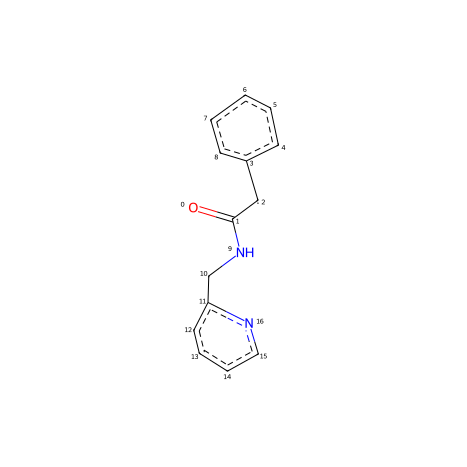 O=C([CH]c1ccccc1)NCc1ccccn1